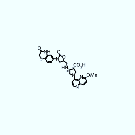 COc1ccc2nccc(N3C[C@H](NCC4CN(c5ccc6c(c5)NC(=O)CS6)C(=O)O4)[C@@H](C(=O)O)C3)c2n1